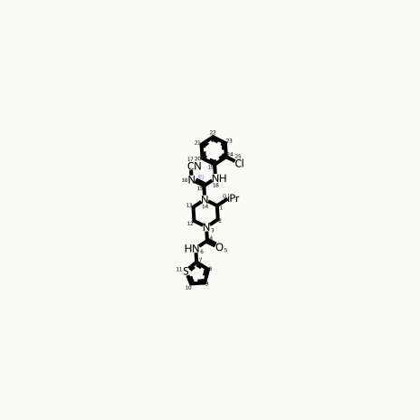 CC(C)C1CN(C(=O)Nc2cccs2)CCN1/C(=N/C#N)Nc1ccccc1Cl